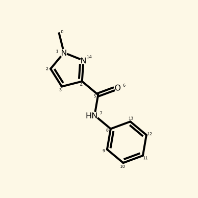 Cn1ccc(C(=O)Nc2ccccc2)n1